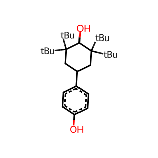 CC(C)(C)C1(C(C)(C)C)CC(c2ccc(O)cc2)CC(C(C)(C)C)(C(C)(C)C)C1O